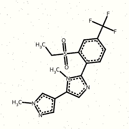 CCS(=O)(=O)c1cc(C(F)(F)F)ccc1-c1ncc(-c2cnn(C)c2)n1C